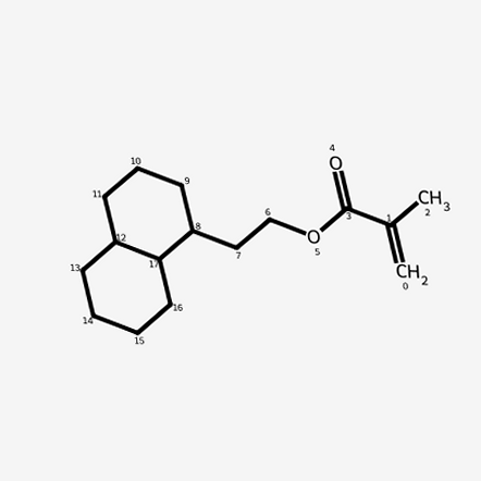 C=C(C)C(=O)OCCC1CCCC2CCCCC21